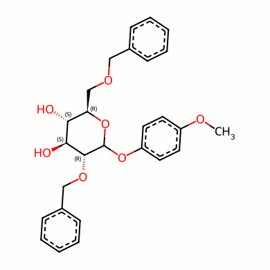 COc1ccc(OC2O[C@H](COCc3ccccc3)[C@@H](O)[C@H](O)[C@H]2OCc2ccccc2)cc1